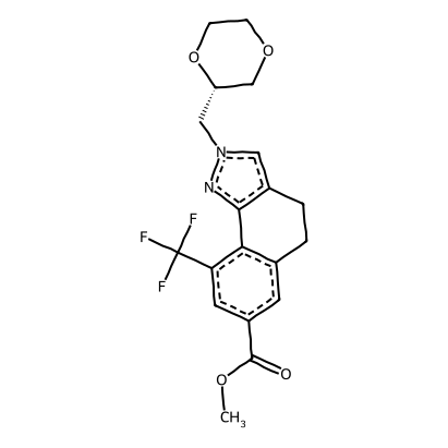 COC(=O)c1cc2c(c(C(F)(F)F)c1)-c1nn(C[C@H]3COCCO3)cc1CC2